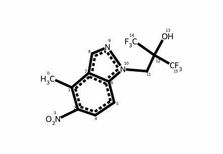 Cc1c([N+](=O)[O-])ccc2c1cnn2CC(O)(C(F)(F)F)C(F)(F)F